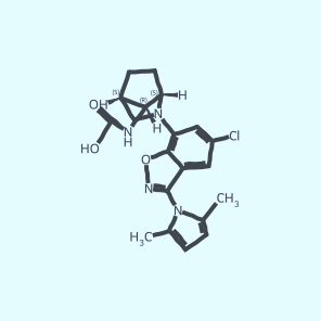 Cc1ccc(C)n1-c1noc2c(N3C[C@@H]4CC[C@H]3[C@@H]4NC(=O)O)cc(Cl)cc12